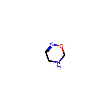 C1=NOCNC1